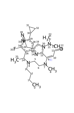 CCCCN(CCN(C)/C(=C/C=O)c1nc(CC#N)cn1N(C)C)C(C)c1ccc(C2CC2)nc1F